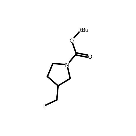 CC(C)(C)OC(=O)N1CCC(CI)C1